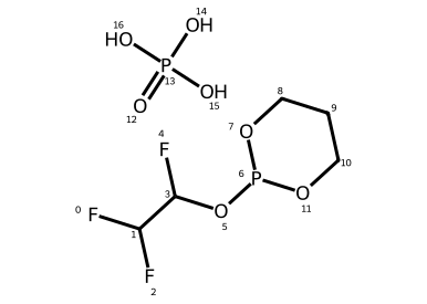 FC(F)C(F)OP1OCCCO1.O=P(O)(O)O